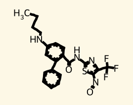 CCCCNc1ccc(C(=O)Nc2nc(C(F)(F)F)c(N=O)s2)c(-c2ccccc2)c1